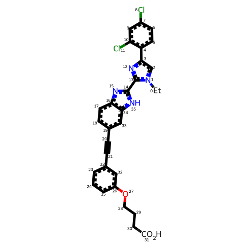 CCn1cc(-c2ccc(Cl)cc2Cl)nc1-c1nc2ccc(C#Cc3cccc(OCCCC(=O)O)c3)cc2[nH]1